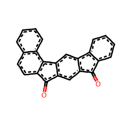 O=c1c2ccccc2c2cc3c(cc12)c(=O)c1ccc2ccccc2c13